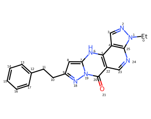 CCn1ncc2c3[nH]c4cc(CCc5ccccc5)nn4c(=O)c3cnc21